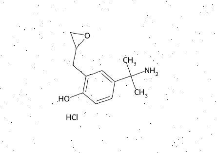 CC(C)(N)c1ccc(O)c(CC2CO2)c1.Cl